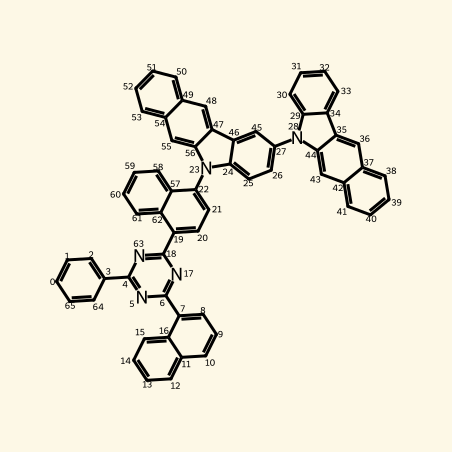 c1ccc(-c2nc(-c3cccc4ccccc34)nc(-c3ccc(-n4c5ccc(-n6c7ccccc7c7cc8ccccc8cc76)cc5c5cc6ccccc6cc54)c4ccccc34)n2)cc1